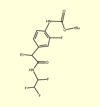 CCC(C(=O)NC(F)C(F)F)c1ccc(NC(=O)OC(C)(C)C)c(F)c1